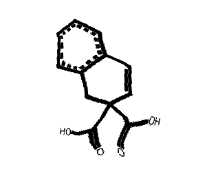 O=C(O)C1(C(=O)O)C=Cc2ccccc2C1